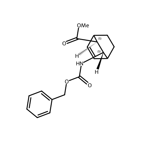 COC(=O)[C@H]1C2C=CC(CC2)[C@@H]1NC(=O)OCc1ccccc1